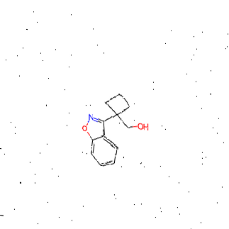 OCC1(c2noc3ccccc23)CCC1